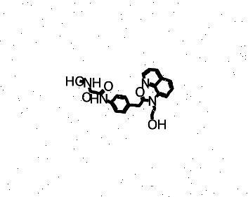 O=C(NO)C(=O)Nc1ccc(CC(=O)N(CCO)c2cccc3cccnc23)cc1